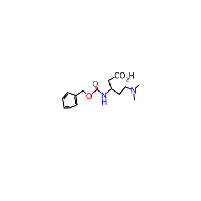 CN(C)CCC(CC(=O)O)NC(=O)OCc1ccccc1